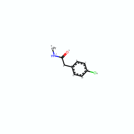 CCCNC(=O)Cc1ccc(Cl)cc1